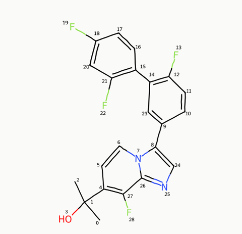 CC(C)(O)c1ccn2c(-c3ccc(F)c(-c4ccc(F)cc4F)c3)cnc2c1F